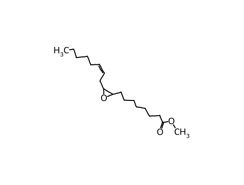 CCCCC/C=C\CC1OC1CCCCCCCC(=O)OC